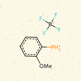 COc1ccccc1[PH3+].F[B-](F)(F)F